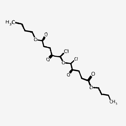 CCCCOC(=O)CCC(=O)C(Cl)OC(Cl)C(=O)CCC(=O)OCCCC